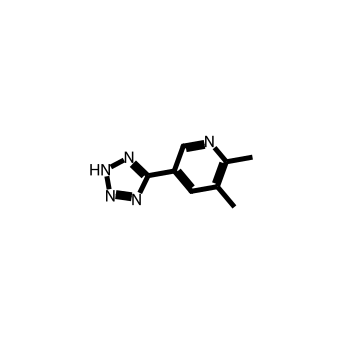 Cc1cc(-c2nn[nH]n2)cnc1C